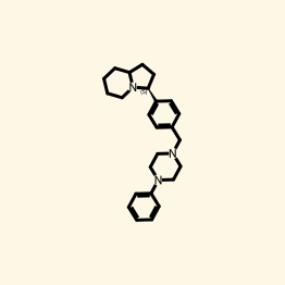 c1ccc(N2CCN(Cc3ccc([C@@H]4CCC5CCCCN54)cc3)CC2)cc1